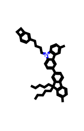 CCCCCC1(CCCCC)c2cc(C)ccc2-c2ccc(-c3ccc4c(c3)c3cc(C)ccc3n4CCCCc3ccc4c(c3)CC4)cc21